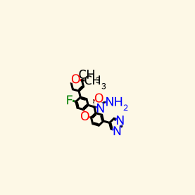 CC1(C)C=C(c2cc3c(cc2F)Oc2ccc(-c4cncnc4)cc2[C@@]32COC(N)=N2)CCO1